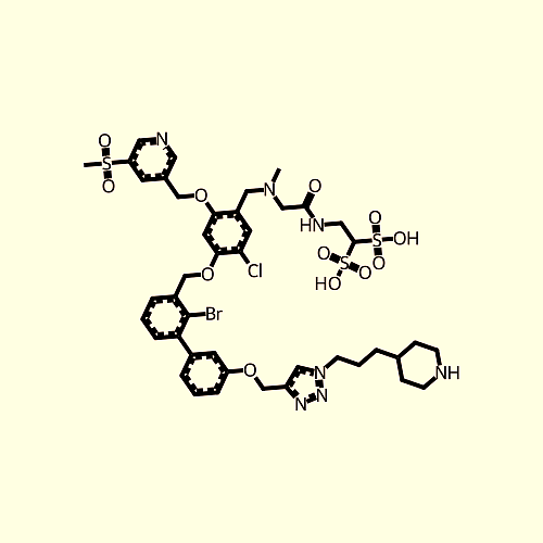 CN(CC(=O)NCC(S(=O)(=O)O)S(=O)(=O)O)Cc1cc(Cl)c(OCc2cccc(-c3cccc(OCc4cn(CCCC5CCNCC5)nn4)c3)c2Br)cc1OCc1cncc(S(C)(=O)=O)c1